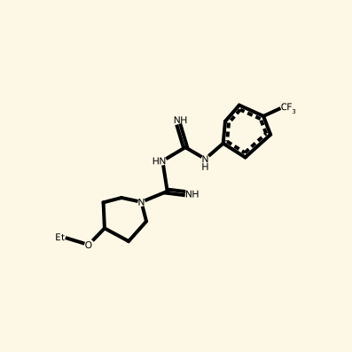 CCOC1CCN(C(=N)NC(=N)Nc2ccc(C(F)(F)F)cc2)CC1